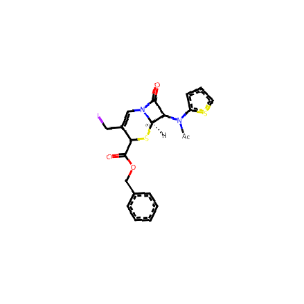 CC(=O)N(c1cccs1)C1C(=O)N2C=C(CI)C(C(=O)OCc3ccccc3)S[C@H]12